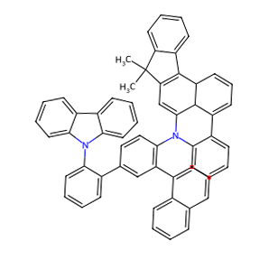 CC1(C)C2=C(c3ccccc31)C1C=CC=C3c4ccccc4N(c4ccc(-c5ccccc5-n5c6ccccc6c6ccccc65)cc4-c4cccc5ccccc45)C(=C2)C31